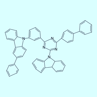 C1=CC2c3ccccc3N(c3nc(-c4ccc(-c5ccccc5)cc4)nc(-c4cccc(-n5c6ccccc6c6cc(-c7ccccc7)ccc65)c4)n3)C2C=C1